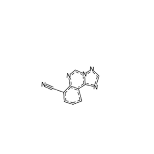 N#Cc1cccc2c1ncn1ncnc21